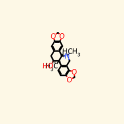 CN1Cc2c(ccc3c2OCO3)[C@@]2(C)[C@@H](O)Cc3cc4c(cc3[C@@H]12)OCO4